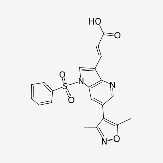 Cc1noc(C)c1-c1cnc2c(/C=C/C(=O)O)cn(S(=O)(=O)c3ccccc3)c2c1